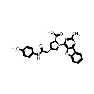 Cc1ccc(NC(=O)C[C@H]2C[C@@H](C(=O)O)N(c3nc(C)nc4c3oc3ccccc34)C2)cc1